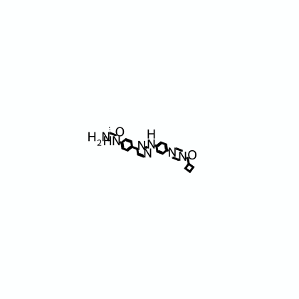 C[C@@H](N)C(=O)Nc1ccc(-c2ccnc(Nc3ccc(N4CCN(C(=O)C5CCC5)CC4)cc3)n2)cc1